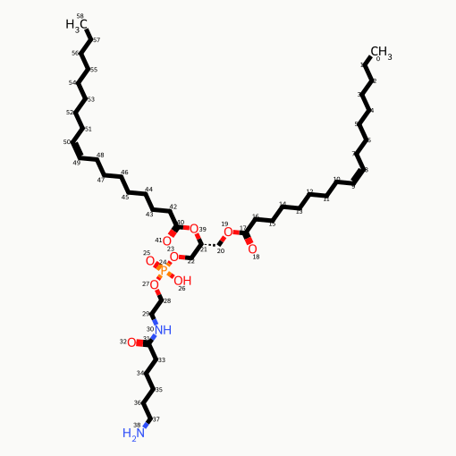 CCCCCCCC/C=C\CCCCCCCC(=O)OC[C@H](COP(=O)(O)OCCNC(=O)CCCCCN)OC(=O)CCCCCCC/C=C\CCCCCCCC